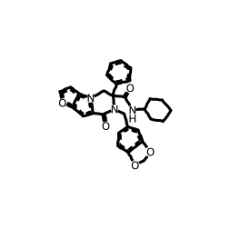 O=C1c2cc3occc3n2CC(C(=O)NC2CCCCC2)(c2ccccc2)N1Cc1ccc2c(c1)OCO2